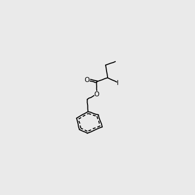 CCC(I)C(=O)OCc1ccccc1